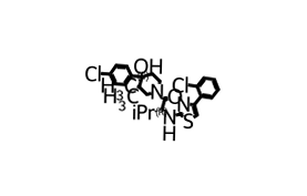 CC(C)[C@@H](Nc1nc(-c2ccccc2Cl)cs1)C(=O)N1CC[C@](O)(c2ccc(Cl)cc2)C(C)(C)C1